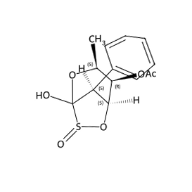 CC(=O)O[C@H]1[C@H]2OS(=O)C(O)(O[C@H]1C)[C@H]2c1ccccc1